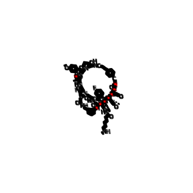 CNCCCCCC(=O)NC[C@H]1NC(=O)[C@H](C)NC(=O)CCC(=O)N2CCCCCCn3cc(c4cc(F)ccc43)C[C@@H]3NC(=O)[C@H](Cc4cccc(c4)CNC(=O)CO[C@H]4CCN(C3=O)C4C(=O)N[C@@H]([C@@H](C)O)C(=O)N[C@@H](Cc3ccc(OC)cc3)C(=O)N3CCC[C@@]3(C)C(=O)NCCc3ccc(cc3)C2)NC1=O